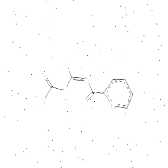 N=C(N)NC(N)=NC(=O)c1ccccn1